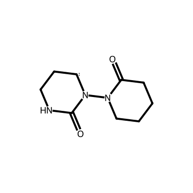 O=C1NCC[C]N1N1CCCCC1=O